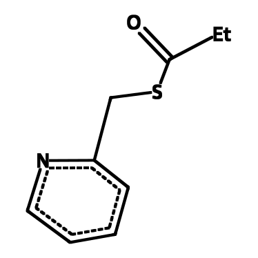 CCC(=O)SCc1ccccn1